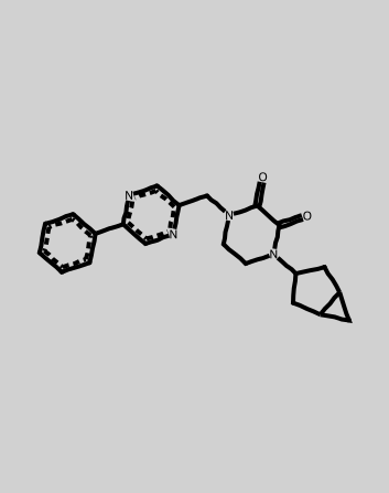 O=C1C(=O)N(C2CC3CC3C2)CCN1Cc1cnc(-c2ccccc2)cn1